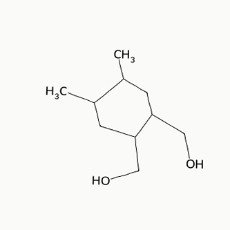 CC1CC(CO)C(CO)CC1C